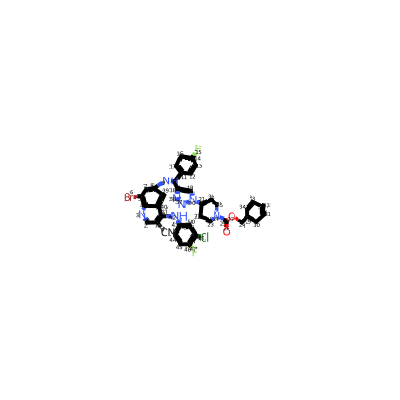 N#Cc1cnc2c(Br)cc(NC(c3ccc(F)cc3)c3cn(C4CCN(C(=O)OCc5ccccc5)CC4)nn3)cc2c1Nc1ccc(F)c(Cl)c1